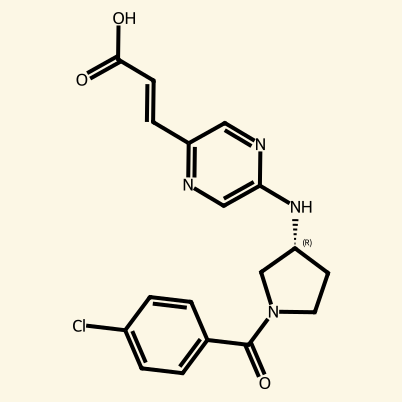 O=C(O)C=Cc1cnc(N[C@@H]2CCN(C(=O)c3ccc(Cl)cc3)C2)cn1